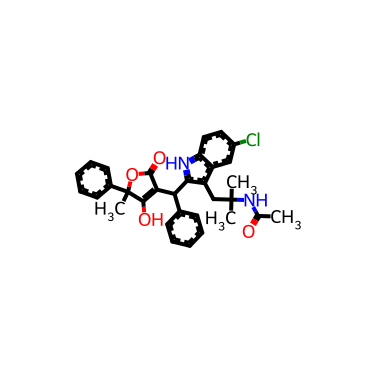 CC(=O)NC(C)(C)Cc1c(C(C2=C(O)C(C)(c3ccccc3)OC2=O)c2ccccc2)[nH]c2ccc(Cl)cc12